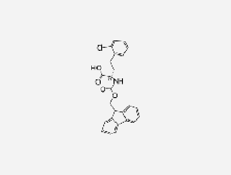 O=C(N[C@@H](CCc1ccccc1Cl)C(=O)O)OCC1c2ccccc2-c2ccccc21